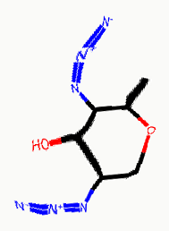 CC1OCC(N=[N+]=[N-])C(O)C1N=[N+]=[N-]